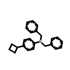 [CH]1CCC1c1ccc(N(Cc2ccccc2)Cc2ccccc2)cc1